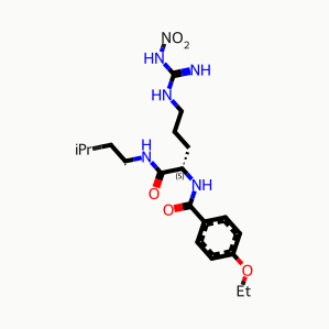 CCOc1ccc(C(=O)N[C@@H](CCCNC(=N)N[N+](=O)[O-])C(=O)N[CH]CC(C)C)cc1